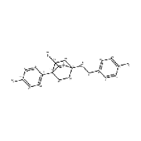 Cc1ccc(COC23C=C(F)C(c4ccc(C)cc4)(CC2)CC3)cc1